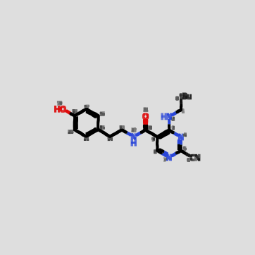 CC(C)(C)CNc1nc(C#N)ncc1C(=O)NCCc1ccc(O)cc1